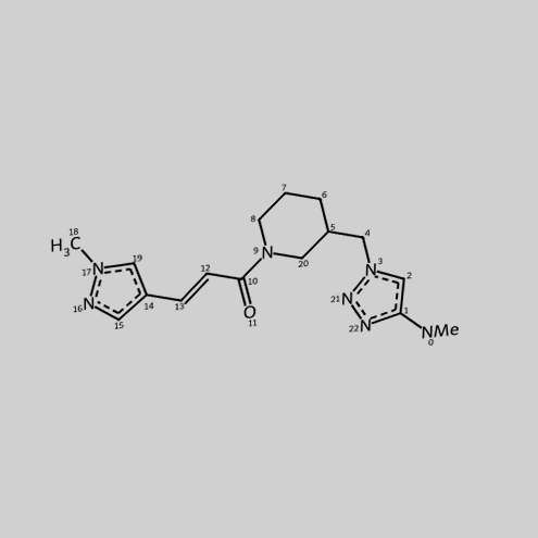 CNc1cn(CC2CCCN(C(=O)C=Cc3cnn(C)c3)C2)nn1